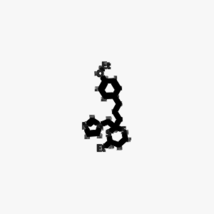 CCOc1ccc(CCCC2(Cn3ccnc3)SCCC(CC)S2)cc1